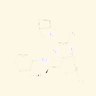 Cc1cc([C@@H](C)Nc2ccccc2C(=O)O)c2nc(N3CC4CC(C4)C3)c(C#N)nc2c1